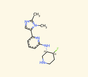 Cc1ncc(-c2cccc(N[C@H]3CNCC[C@@H]3F)n2)n1C